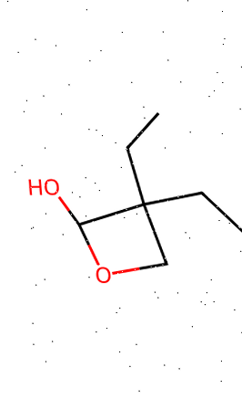 CCC1(CC)COC1O